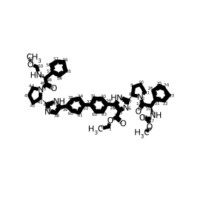 CCOC(=O)c1nc([C@@H]2CCCN2C(=O)[C@H](NC(=O)OC)c2ccccc2)[nH]c1-c1ccc(-c2ccc(-c3cnc([C@@H]4CCCN4C(=O)[C@H](NCOC)c4ccccc4)[nH]3)cc2)cc1